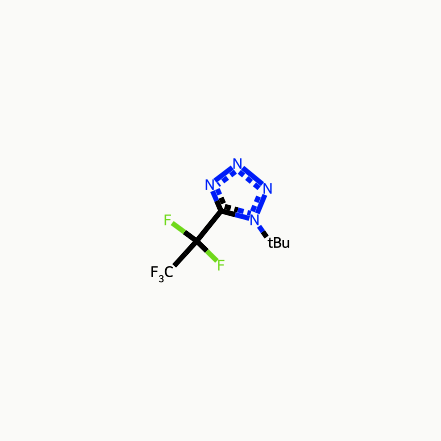 CC(C)(C)n1nnnc1C(F)(F)C(F)(F)F